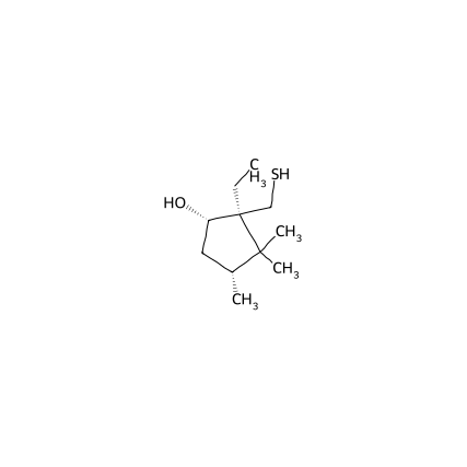 CC[C@@]1(CS)[C@@H](O)C[C@@H](C)C1(C)C